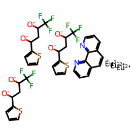 [Eu+2].[Eu+2].[Eu+2].[O-]C(CC([O-])C(F)(F)F)c1cccs1.[O-]C(CC([O-])C(F)(F)F)c1cccs1.[O-]C(CC([O-])C(F)(F)F)c1cccs1.c1cnc2c(c1)ccc1cccnc12